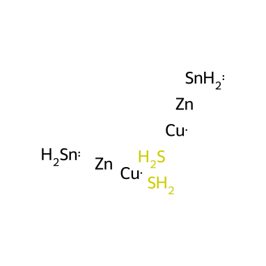 S.S.[Cu].[Cu].[SnH2].[SnH2].[Zn].[Zn]